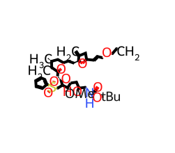 C=CCOC/C=C/C1CC(=C)[C@H](CCC2C[C@@H](C)C(=C)C(C[C@@H]3OC(CC(O)CNC(=O)OC(C)(C)C)[C@H](OC)C3CS(=O)(=O)c3ccccc3)O2)O1